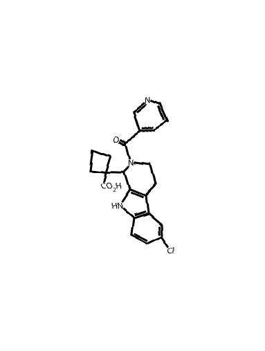 O=C(c1cccnc1)N1CCc2c([nH]c3ccc(Cl)cc23)C1C1(C(=O)O)CCC1